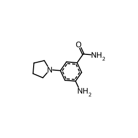 NC(=O)c1cc(N)cc(N2CCCC2)c1